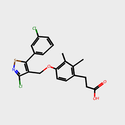 Cc1c(CCC(=O)O)ccc(OCc2c(Cl)nsc2-c2cccc(Cl)c2)c1C